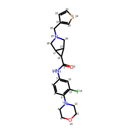 O=C(Nc1ccc(N2CCOCC2)c(F)c1)C1C2CN(Cc3ccsc3)CC21